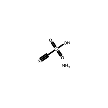 N.N#CS(=O)(=O)O